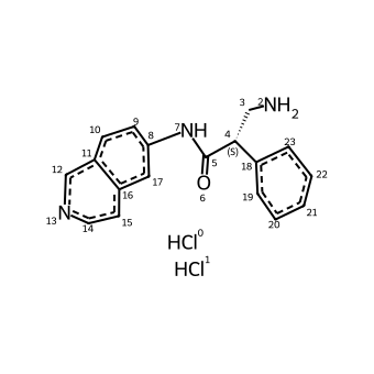 Cl.Cl.NC[C@@H](C(=O)Nc1ccc2cnccc2c1)c1ccccc1